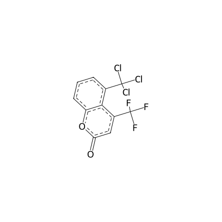 O=c1cc(C(F)(F)F)c2c(C(Cl)(Cl)Cl)cccc2o1